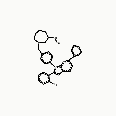 N#CNC1CCCCN(Cc2ccc(-n3c(-c4cccnc4N)nc4ccc(-c5ccccc5)nc43)cc2)C1